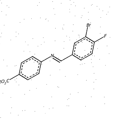 CCOC(=O)c1ccc(/N=C/c2ccc(F)c(Br)c2)cc1